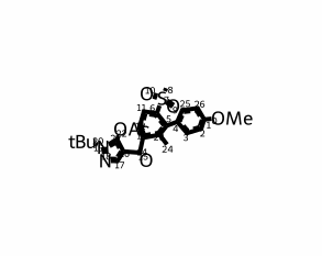 COc1ccc(-c2c(S(C)(=O)=O)ccc(C(=O)c3cnn(C(C)(C)C)c3OC(C)=O)c2C)cc1